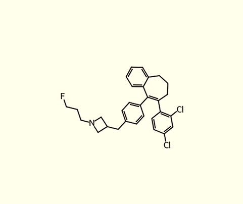 FCCCN1CC(Cc2ccc(C3=C(c4ccc(Cl)cc4Cl)CCCc4ccccc43)cc2)C1